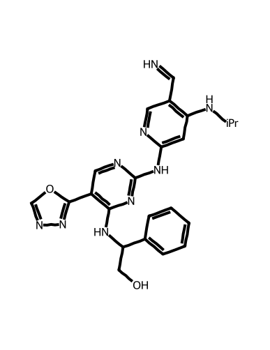 CC(C)Nc1cc(Nc2ncc(-c3nnco3)c(NC(CO)c3ccccc3)n2)ncc1C=N